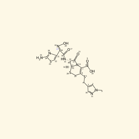 Cn1cc(CSC2=C(C(=O)O)N3C(=O)[C@@H](NC(=O)/C(=N\O)c4csc(N)n4)[C@@H]3SC2)cn1